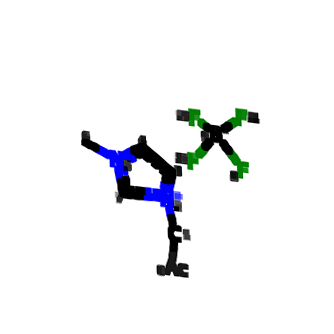 CC(=O)C[n+]1ccn(C)c1.F[B-](F)(F)F